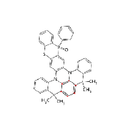 CC1(C)c2ccccc2N(c2cc3c(cc2N2c4ccccc4C(C)(C)c4ccccc42)P(=O)(c2ccccc2)c2ccccc2S3)c2ccccc21